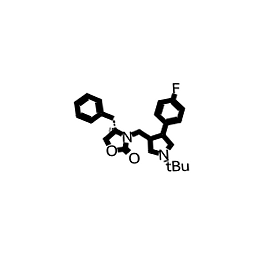 CC(C)(C)N1CC(CN2C(=O)OC[C@@H]2Cc2ccccc2)C(c2ccc(F)cc2)C1